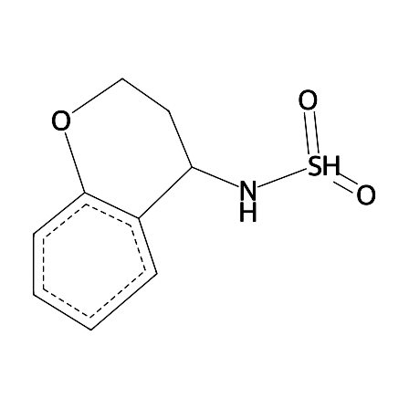 O=[SH](=O)NC1CCOc2ccccc21